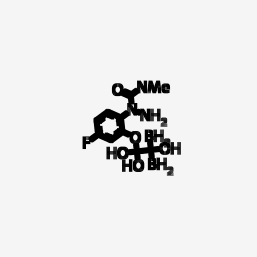 BC(B)(O)C(O)(O)Oc1cc(F)ccc1N(N)C(=O)NC